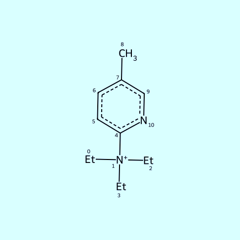 CC[N+](CC)(CC)c1ccc(C)cn1